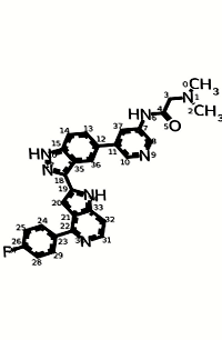 CN(C)CC(=O)Nc1cncc(-c2ccc3[nH]nc(-c4cc5c(-c6ccc(F)cc6)nccc5[nH]4)c3c2)c1